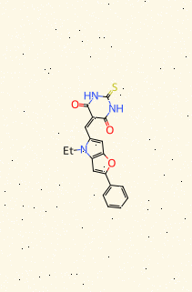 CCn1c(C=C2C(=O)NC(=S)NC2=O)cc2oc(-c3ccccc3)cc21